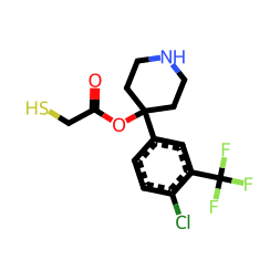 O=C(CS)OC1(c2ccc(Cl)c(C(F)(F)F)c2)CCNCC1